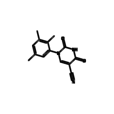 Cc1cc(C)c(C)c(-n2cc(C#N)c(=O)[nH]c2=O)c1